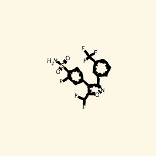 NS(=O)(=O)c1ccc(-c2c(-c3cccc(C(F)(F)F)c3)noc2C(F)F)cc1F